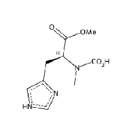 COC(=O)[C@H](Cc1c[nH]cn1)N(C)C(=O)O